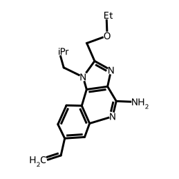 C=Cc1ccc2c(c1)nc(N)c1nc(COCC)n(CC(C)C)c12